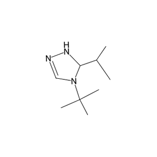 CC(C)C1NN=CN1C(C)(C)C